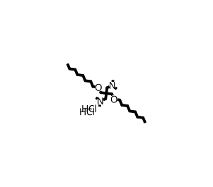 CCCCCCCCOCC(COCCCCCCCC)(CN(C)C)CN(C)C.Cl.Cl